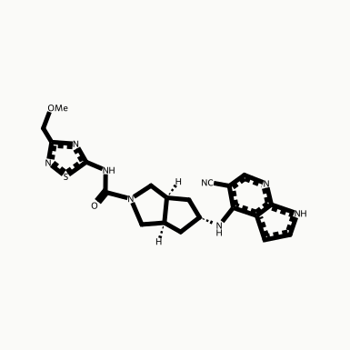 COCc1nsc(NC(=O)N2C[C@H]3C[C@H](Nc4c(C#N)cnc5[nH]ccc45)C[C@H]3C2)n1